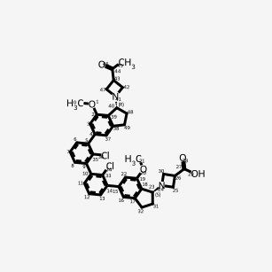 COc1cc(-c2cccc(-c3cccc(-c4cc5c(c(OC)c4)[C@@H](N4CC(C(=O)O)C4)CC5)c3Cl)c2Cl)cc2c1[C@H](N1CC(C(C)=O)C1)CC2